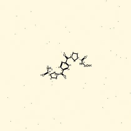 CCCCCCCCCCNC(=O)[C@H]1CCN(C(=O)c2ccc(C(=O)N3CC[C@H](C(N)=O)C3)cc2)C1